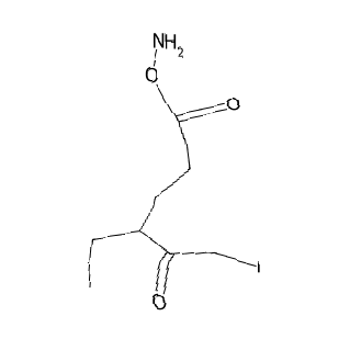 CCC(CCC(=O)ON)C(=O)CI